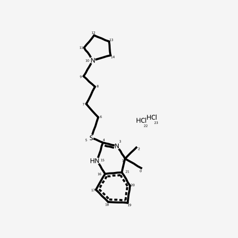 CC1(C)N=C(SCCCCN2CCCC2)Nc2ccccc21.Cl.Cl